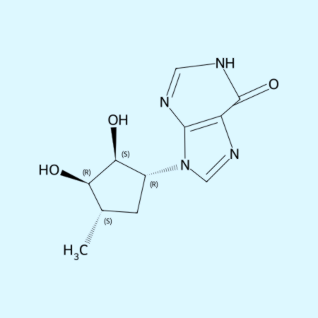 C[C@H]1C[C@@H](n2cnc3c(=O)[nH]cnc32)[C@H](O)[C@@H]1O